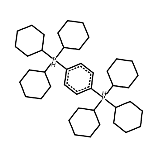 c1cc([PH](C2CCCCC2)(C2CCCCC2)C2CCCCC2)ccc1[PH](C1CCCCC1)(C1CCCCC1)C1CCCCC1